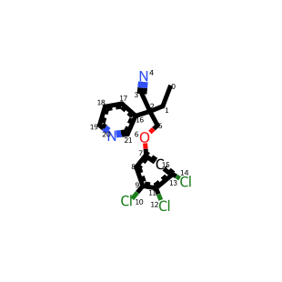 CCC(C#N)(COc1cc(Cl)c(Cl)c(Cl)c1)c1cccnc1